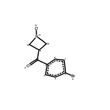 O=C(c1ccc(Br)cc1)C1CN(Cl)C1